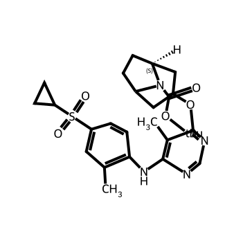 Cc1cc(S(=O)(=O)C2CC2)ccc1Nc1ncnc(OC2CC3CC[C@@H](C2)N3C(=O)OC(C)(C)C)c1C